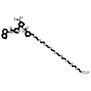 CCN(CC)c1ccc(NC(=O)c2cccc(CSCCOCCOCCOCCOCCOCCOCCOCCOCCC(=O)O)c2)c(-c2cc(C(=O)NC3CCCc4ccccc43)ccn2)c1